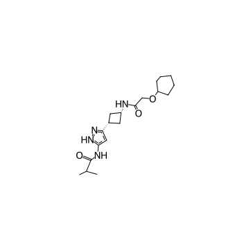 CC(C)C(=O)Nc1cc([C@H]2C[C@@H](NC(=O)COC3CCCCC3)C2)n[nH]1